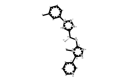 Cc1cccc(-n2nnc([C@@H](C)Oc3nnc(-c4cccnc4)n3C)n2)c1